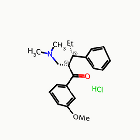 CC[C@H](c1ccccc1)[C@@H](CN(C)C)C(=O)c1cccc(OC)c1.Cl